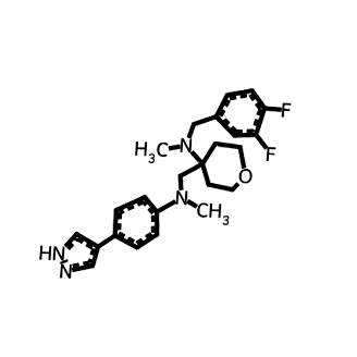 CN(CC1(N(C)Cc2ccc(F)c(F)c2)CCOCC1)c1ccc(-c2cn[nH]c2)cc1